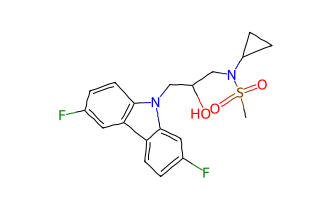 CS(=O)(=O)N(CC(O)Cn1c2ccc(F)cc2c2ccc(F)cc21)C1CC1